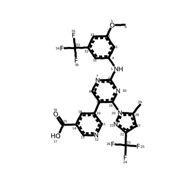 COc1cc(Nc2ncc(-c3cncc(C(=O)O)c3)c(-n3nc(C(F)(F)F)cc3C)n2)cc(C(F)(F)F)c1